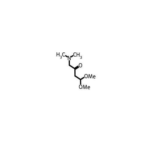 COC(CC(=O)CN(C)C)OC